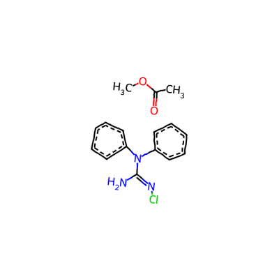 COC(C)=O.NC(=NCl)N(c1ccccc1)c1ccccc1